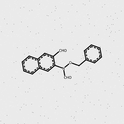 O=Cc1cc2ccccc2cc1N(C=O)OCc1ccccc1